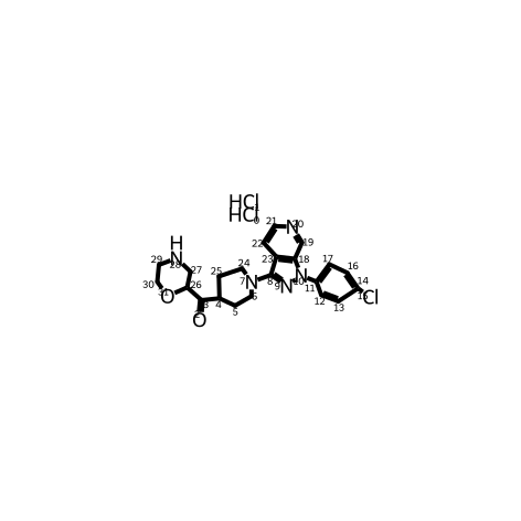 Cl.Cl.O=C(C1CCN(c2nn(-c3ccc(Cl)cc3)c3cnccc23)CC1)C1CNCCO1